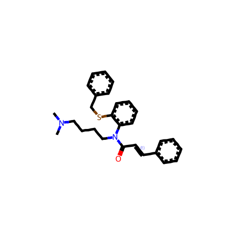 CN(C)CCCCN(C(=O)/C=C/c1ccccc1)c1ccccc1SCc1ccccc1